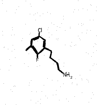 Cc1cc(Cl)cc(CCCCN)c1F